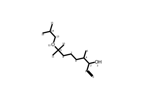 C=CC(O)C(C)CCCC(C)(C)OCC(C)C